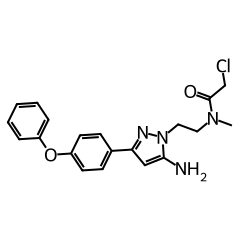 CN(CCn1nc(-c2ccc(Oc3ccccc3)cc2)cc1N)C(=O)CCl